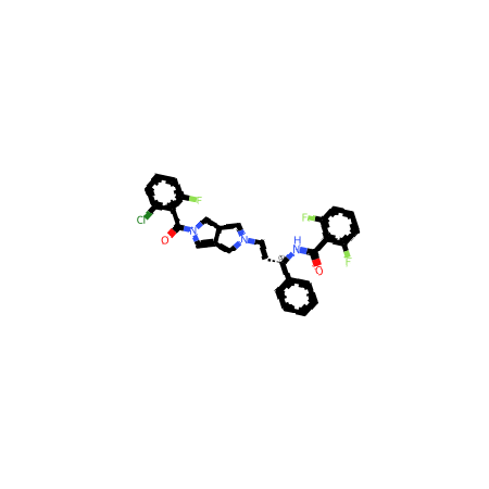 O=C(N[C@@H](CCN1CC2=CN(C(=O)c3c(F)cccc3Cl)CC2C1)c1ccccc1)c1c(F)cccc1F